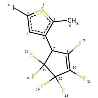 Cc1sc(I)cc1C1C(F)=C(F)C(F)(F)C1(F)F